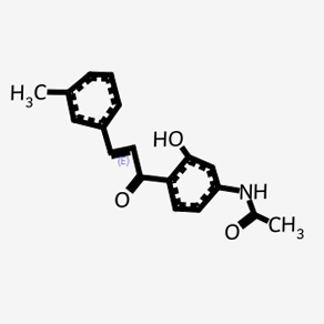 CC(=O)Nc1ccc(C(=O)/C=C/c2cccc(C)c2)c(O)c1